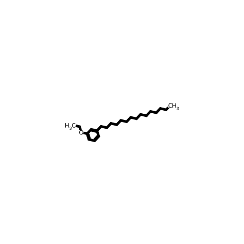 CCCCCCCCCCCCCCCc1cccc(OCC)c1